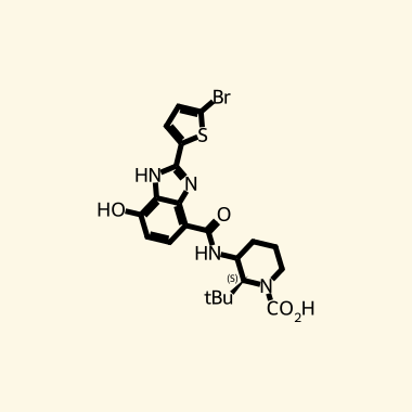 CC(C)(C)[C@H]1C(NC(=O)c2ccc(O)c3[nH]c(-c4ccc(Br)s4)nc23)CCCN1C(=O)O